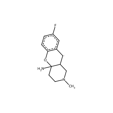 CN1CCC2(N)Oc3ccc(F)cc3[C]C2C1